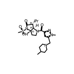 CC1CCN(Cc2cc(C(=O)N3CC[C@H]4[C@H]3[C@@H](C(C)C)C(=O)N4S(C)(=O)=O)nn2C)CC1